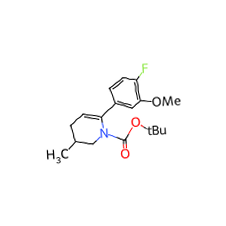 COc1cc(C2=CCC(C)CN2C(=O)OC(C)(C)C)ccc1F